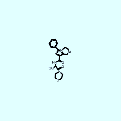 CC(C)(C)C(NC(=O)c1nc(-c2ccccc2)n2c1CNCC2)C(=O)N1CCOCC1